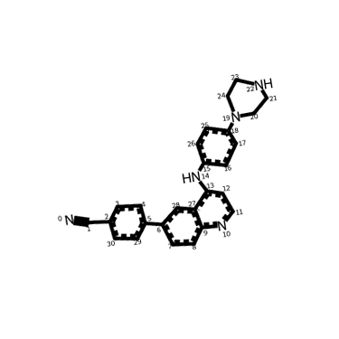 N#Cc1ccc(-c2ccc3nccc(Nc4ccc(N5CCNCC5)cc4)c3c2)cc1